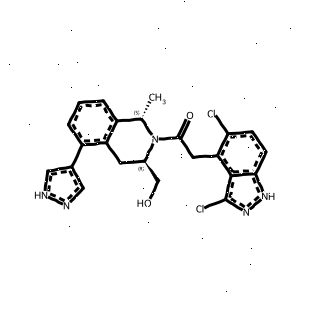 C[C@H]1c2cccc(-c3cn[nH]c3)c2C[C@H](CO)N1C(=O)Cc1c(Cl)ccc2[nH]nc(Cl)c12